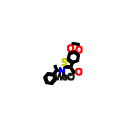 COC(=O)c1c(N(C(C)=O)C(C)c2ccccc2)sc2c1CCC1(C2)OCCO1